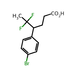 CC(F)(F)C(CCC(=O)O)c1ccc(Br)cc1